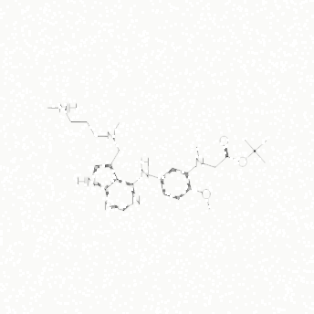 CNCCCN(C)Cc1c[nH]c2ncnc(Nc3ccc(OC)c(N(C)CC(=O)OC(C)(C)C)c3)c12